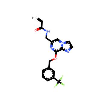 C=CC(=O)NCc1cn2ccnc2c(OCc2cccc(C(F)(F)F)c2)n1